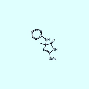 CSC1=NC(C)(Nc2ccccc2)C(=O)N1